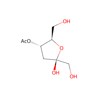 CC(=O)O[C@H]1C[C@@](O)(CO)O[C@@H]1CO